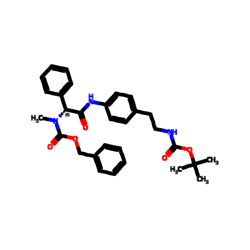 CN(C(=O)OCc1ccccc1)[C@@H](C(=O)Nc1ccc(CCNC(=O)OC(C)(C)C)cc1)c1ccccc1